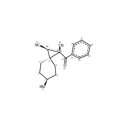 CC(C)(C)[C@H]1CC[C@]2(CC1)[C@@H](C#N)[C@]2(C#N)C(=O)c1ccccc1